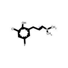 CN(C)/C=C/Cc1cc(F)cc(Cl)c1O